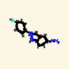 Nc1ccc2nn(-c3ccc(F)cc3)cc2c1